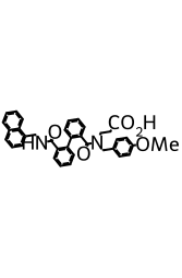 COc1ccc(CN(CCC(=O)O)C(=O)c2ccccc2-c2ccccc2C(=O)NCc2cccc3ccccc23)cc1